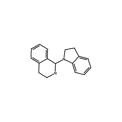 c1ccc2c(c1)CC[N]C2N1CCc2ccccc21